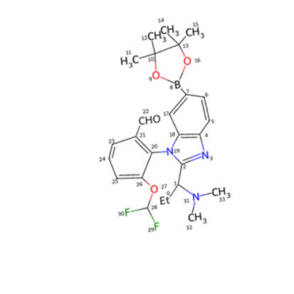 CCC(c1nc2ccc(B3OC(C)(C)C(C)(C)O3)cc2n1-c1c(C=O)cccc1OC(F)F)N(C)C